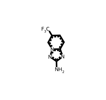 Nc1nc2ccc(C(F)(F)F)cn2n1